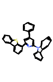 c1ccc(-c2cc(-c3cccc4c3sc3ccccc34)nc(-n3c4ccccc4c4ccccc43)c2)cc1